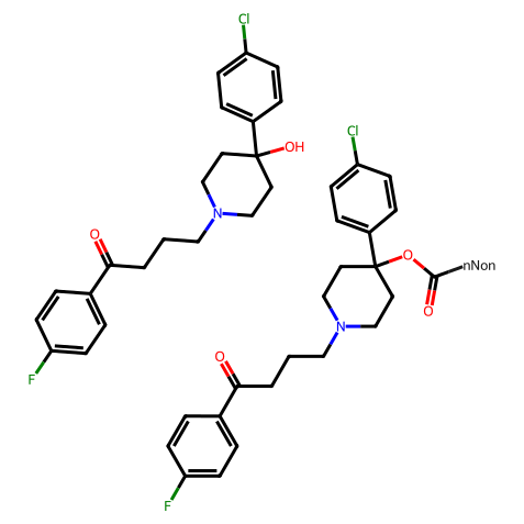 CCCCCCCCCC(=O)OC1(c2ccc(Cl)cc2)CCN(CCCC(=O)c2ccc(F)cc2)CC1.O=C(CCCN1CCC(O)(c2ccc(Cl)cc2)CC1)c1ccc(F)cc1